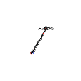 CO[Si](CCCCCCCCCCCCCCCCCCCCCCCCCCCCCCCCCCN=C=O)(OC)OC